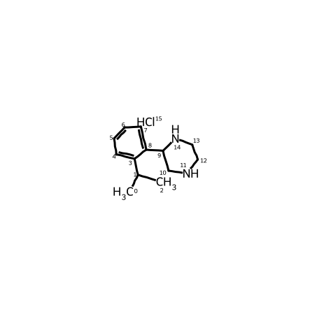 CC(C)c1ccccc1C1CNCCN1.Cl